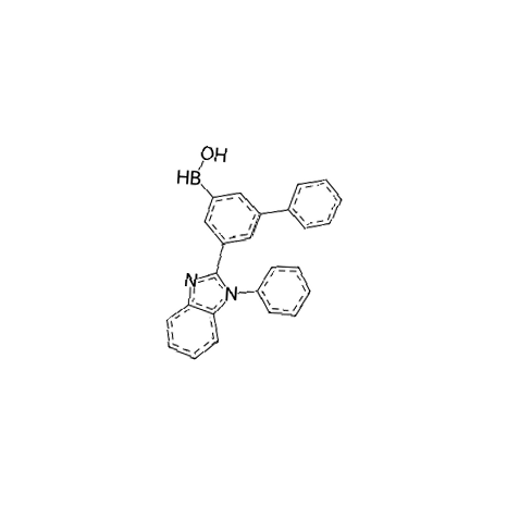 OBc1cc(-c2ccccc2)cc(-c2nc3ccccc3n2-c2ccccc2)c1